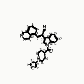 N#CC(=Cc1cccc2cnccc12)c1cn(C(=O)C2CCN(c3cocn3)CC2)c2ccccc12